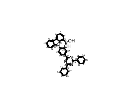 OB(O)c1cccc2c3ccccc3n(-c3ccc(-c4nc(-c5ccccc5)nc(-c5ccccc5)n4)cc3)c12